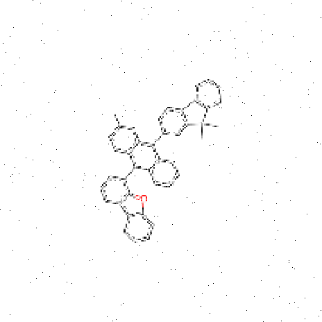 Cc1ccc2c(-c3cccc4c3oc3ccccc34)c3ccccc3c(-c3ccc4c(c3)C(C)(C)c3ccccc3-4)c2c1